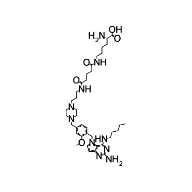 CCCCCNc1nc(N)nc2ccn(Cc3ccc(CN4CCN(CCCNC(=O)CCCC(=O)NCCCC[C@H](N)C(=O)O)CC4)cc3OC)c12